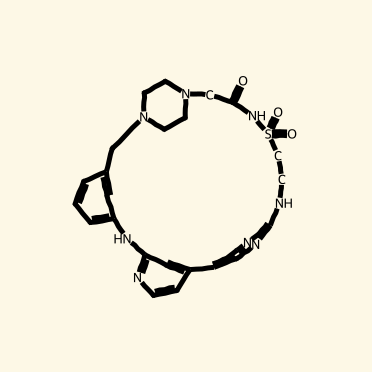 O=C1CN2CCN(CC2)Cc2cccc(c2)Nc2cc(ccn2)-c2cnc(nc2)NCCS(=O)(=O)N1